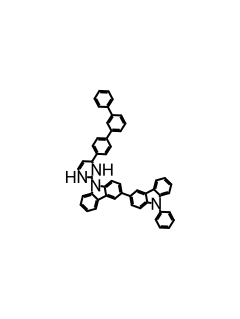 C1=CC(c2ccc(-c3cccc(-c4ccccc4)c3)cc2)NC(n2c3ccccc3c3cc(-c4ccc5c(c4)c4ccccc4n5-c4ccccc4)ccc32)N1